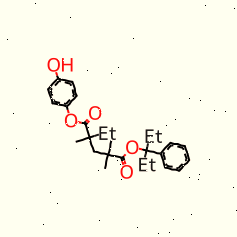 CCC(C)(CC(C)(C)C(=O)OC(CC)(CC)c1ccccc1)C(=O)Oc1ccc(O)cc1